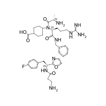 C[C@H](N)C(=O)N(C1CCC(C(=O)O)CC1)[C@@H](CCCNC(=N)N)C(=O)NCc1ccccc1.NCCC(=O)N[C@@H](Cc1ccc(F)cc1)c1ncco1